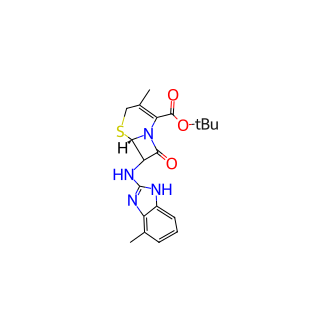 CC1=C(C(=O)OC(C)(C)C)N2C(=O)C(Nc3nc4c(C)cccc4[nH]3)[C@@H]2SC1